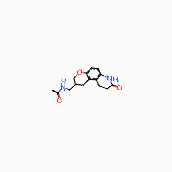 CC(=O)NCC1COc2ccc3c(c2C1)CCC(=O)N3